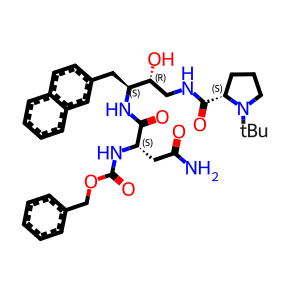 CC(C)(C)N1CCC[C@H]1C(=O)NC[C@@H](O)[C@H](Cc1ccc2ccccc2c1)NC(=O)[C@H](CC(N)=O)NC(=O)OCc1ccccc1